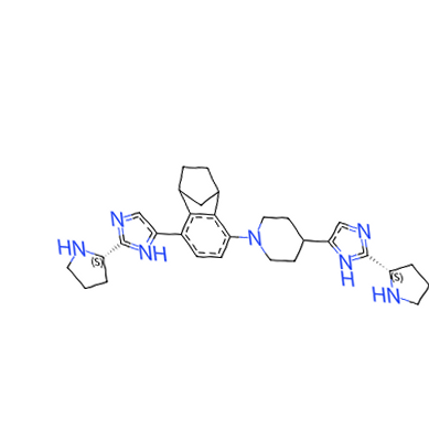 c1nc([C@@H]2CCCN2)[nH]c1-c1ccc(N2CCC(c3cnc([C@@H]4CCCN4)[nH]3)CC2)c2c1C1CCC2C1